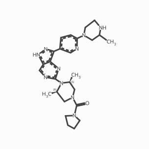 CC1CN(c2ccc(-c3n[nH]c4cnc(N5[C@H](C)CN(C(=O)N6CCCC6)C[C@@H]5C)nc34)cn2)CCN1